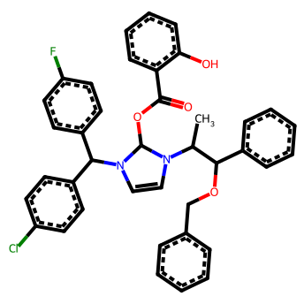 CC(C(OCc1ccccc1)c1ccccc1)N1C=CN(C(c2ccc(F)cc2)c2ccc(Cl)cc2)C1OC(=O)c1ccccc1O